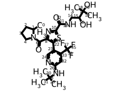 CC1CCCN1C(=O)c1nc(C(=O)NCC(O)C(C)(C)O)sc1-c1cnc(NC(C)(C)C)cc1C(F)(F)F